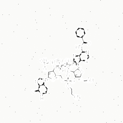 CC(C)(C)[Si](C)(C)OC1[C@@H](O[PH](=O)O)[C@H](n2cnc3c(=O)[nH]ccc32)O[C@@H]1COP(=O)(OCCC#N)O[C@H]1C(O[Si](C)(C)C(C)(C)C)[C@H](n2cnc3c(NC(=O)c4ccccc4)ncnc32)O[C@@H]1CO